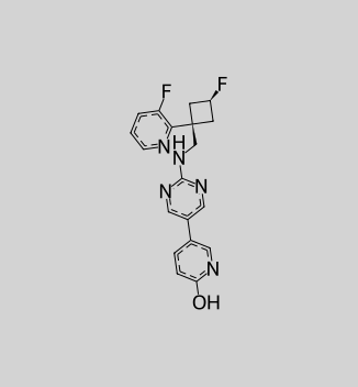 Oc1ccc(-c2cnc(NC[C@]3(c4ncccc4F)C[C@H](F)C3)nc2)cn1